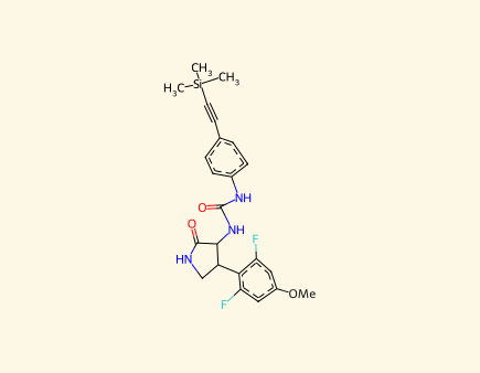 COc1cc(F)c(C2CNC(=O)C2NC(=O)Nc2ccc(C#C[Si](C)(C)C)cc2)c(F)c1